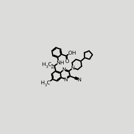 Cc1cc([C@@H](C)Nc2ccccc2C(=O)O)c2nc(N3CCC(C4CCCC4)CC3)c(C#N)nc2c1